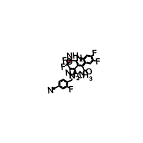 Cc1c(-c2c(C(N)=O)nc3cc(F)c(F)cc3c2C(N)=O)c(C(F)(F)F)nn1Cc1ccc(C#N)cc1F